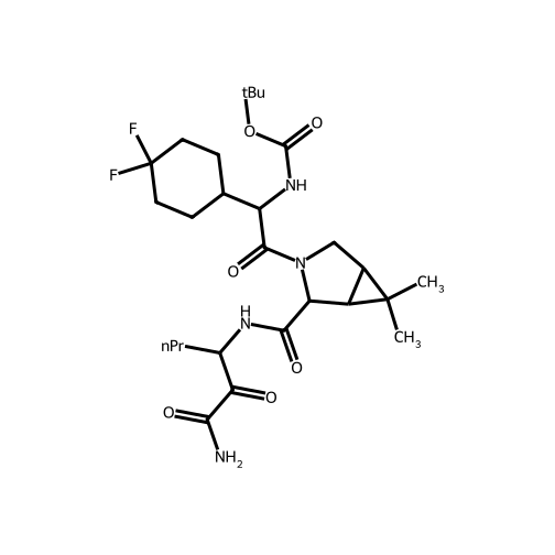 CCCC(NC(=O)C1C2C(CN1C(=O)C(NC(=O)OC(C)(C)C)C1CCC(F)(F)CC1)C2(C)C)C(=O)C(N)=O